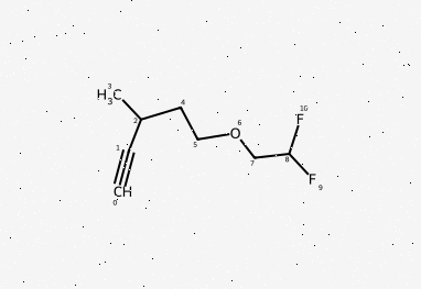 C#CC(C)CCOCC(F)F